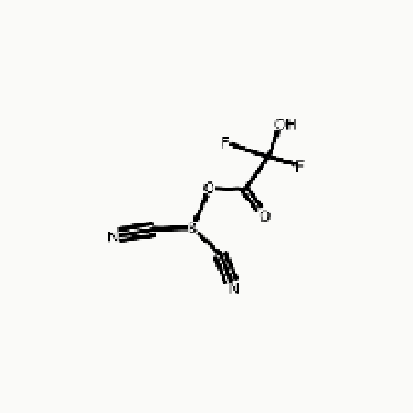 N#CB(C#N)OC(=O)C(O)(F)F